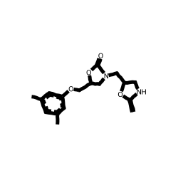 C=C1NCC(CN2CC(COc3cc(C)cc(C)c3)OC2=O)O1